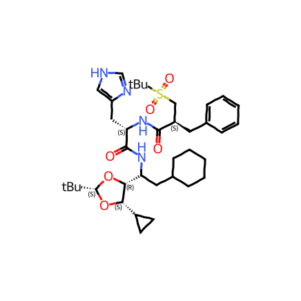 CC(C)(C)[C@@H]1O[C@H](C(CC2CCCCC2)NC(=O)[C@H](Cc2c[nH]cn2)NC(=O)[C@H](Cc2ccccc2)CS(=O)(=O)C(C)(C)C)[C@H](C2CC2)O1